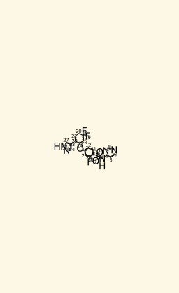 O=S(=O)(Nc1ccncn1)c1ccc(O[C@H]2CC(F)(F)CC[C@@H]2c2cn[nH]c2)cc1F